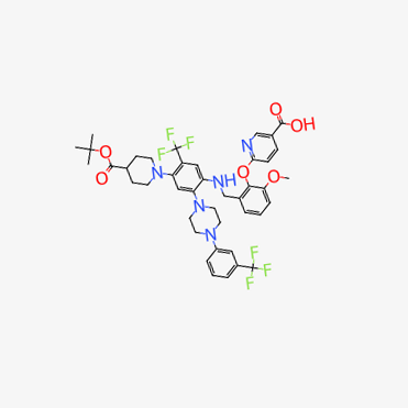 COc1cccc(CNc2cc(C(F)(F)F)c(N3CCC(C(=O)OC(C)(C)C)CC3)cc2N2CCN(c3cccc(C(F)(F)F)c3)CC2)c1Oc1ccc(C(=O)O)cn1